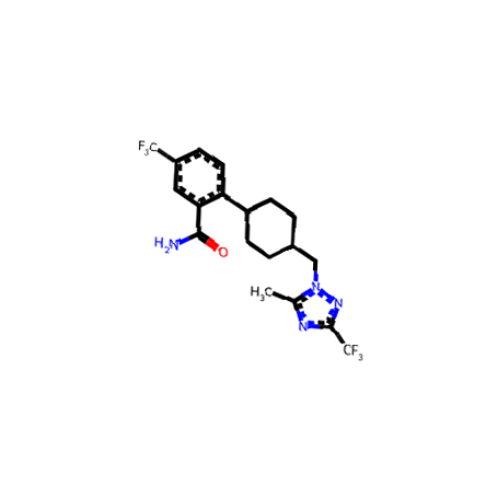 Cc1nc(C(F)(F)F)nn1CC1CCC(c2ccc(C(F)(F)F)cc2C(N)=O)CC1